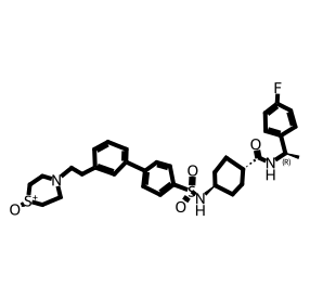 C[C@@H](NC(=O)[C@H]1CC[C@H](NS(=O)(=O)c2ccc(-c3cccc(CCN4CC[S+]([O-])CC4)c3)cc2)CC1)c1ccc(F)cc1